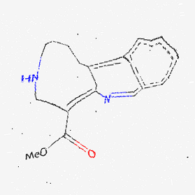 COC(=O)C1=C2N=c3ccccc3=C2CCNC1